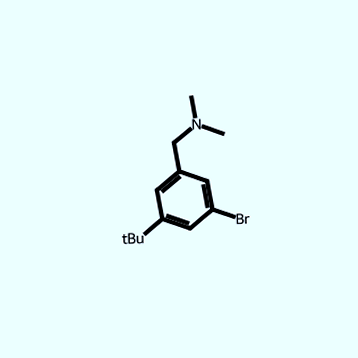 CN(C)Cc1cc(Br)cc(C(C)(C)C)c1